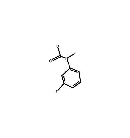 CN(C([O])=O)c1cccc(F)c1